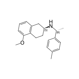 COc1cccc2c1CC[C@H](N[C@H](C)c1ccc(C)cc1)C2